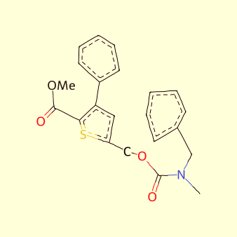 COC(=O)c1sc(COC(=O)N(C)Cc2ccccc2)cc1-c1ccccc1